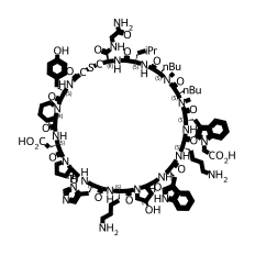 CCCC[C@H]1C(=O)N(C)[C@@H](CCCC)C(=O)N[C@@H](CC(C)C)C(=O)N[C@H](C(=O)NCC(N)=O)CSCC(=O)N[C@@H](Cc2ccc(O)cc2)C(=O)N2CCCC[C@@H]2C(=O)N[C@@H](CC(=O)O)C(=O)N2CCC[C@H]2C(=O)N[C@@H](Cc2cnc[nH]2)C(=O)N[C@@H](CCCCN)C(=O)N2C[C@H](O)C[C@H]2C(=O)N[C@@H](Cc2c[nH]c3ccccc23)C(=O)N[C@@H](CCCCN)C(=O)N[C@@H](Cc2cn(CC(=O)O)c3ccccc23)C(=O)N1C